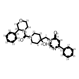 O=C(N1CCC(O)(Cn2cnc(-c3ccccc3)cc2=O)CC1)N1CCOCC1c1ccccc1